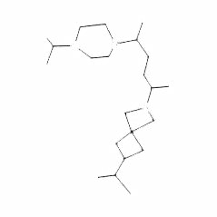 CC(C)C1CC2(C1)CN(C(C)CCC(C)N1CCN(C(C)C)CC1)C2